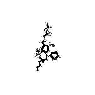 CCCCC1(C)CN(c2ccccc2)c2cc(SC)c(CSCC(=O)OCC)cc2S(=O)(=O)C1